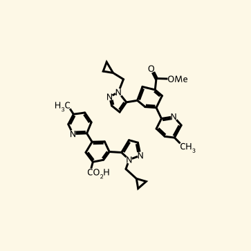 COC(=O)c1cc(-c2ccc(C)cn2)cc(-c2ccnn2CC2CC2)c1.Cc1ccc(-c2cc(C(=O)O)cc(-c3ccnn3CC3CC3)c2)nc1